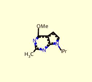 COc1nc(C)nc2c1ccn2C(C)C